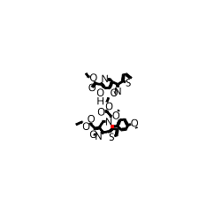 CCOC(=O)CN(Cc1ccc(OC)cc1OC)Cc1c(-c2cccs2)noc1C(=O)OCC.CCOC(=O)c1ncc2c(-c3cccs3)noc2c1O